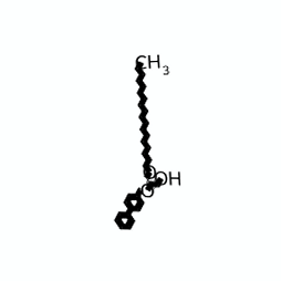 CCCCCCCCCCCCCCCCCCOC[C@H](CO)OCc1ccc(-c2ccccc2)cc1